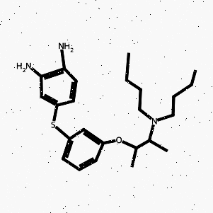 CCCCN(CCCC)C(C)C(C)Oc1cccc(Sc2ccc(N)c(N)c2)c1